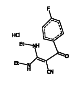 CCNC(NCC)=C(C#N)C(=O)c1ccc(F)cc1.Cl